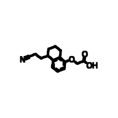 N#CCCC1CCCc2c(OCC(=O)O)cccc21